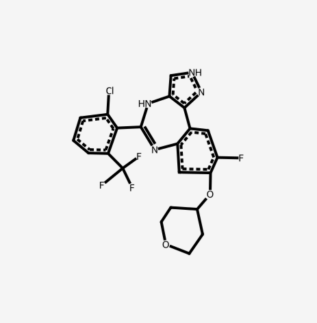 Fc1cc2c(cc1OC1CCOCC1)N=C(c1c(Cl)cccc1C(F)(F)F)Nc1c[nH]nc1-2